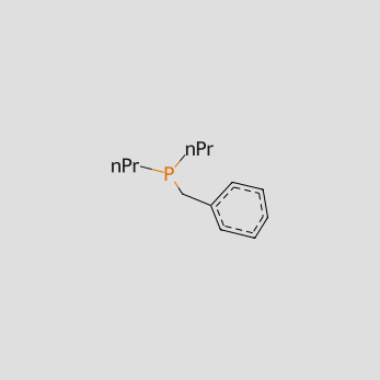 CCCP(CCC)Cc1ccccc1